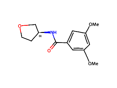 COc1cc(OC)cc(C(=O)N[C@H]2CCOC2)c1